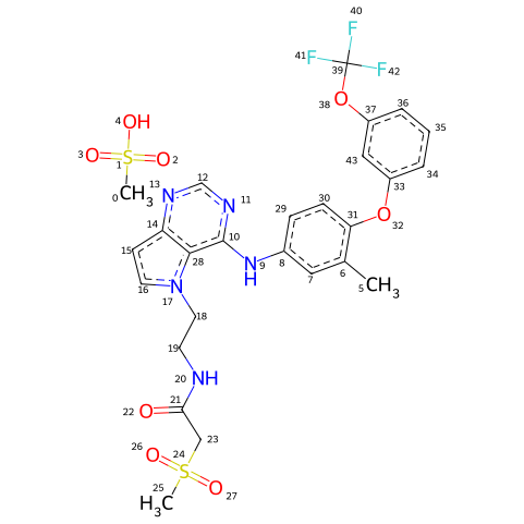 CS(=O)(=O)O.Cc1cc(Nc2ncnc3ccn(CCNC(=O)CS(C)(=O)=O)c23)ccc1Oc1cccc(OC(F)(F)F)c1